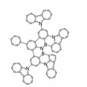 c1ccc(-c2cc3c4c(c2)-c2cc(-n5c6ccccc6c6ccccc65)cc5c2B(c2cccc6c7ccccc7n-5c26)N4B2c4c-3cc(-n3c5ccccc5c5ccccc53)cc4-n3c4ccccc4c4cccc2c43)cc1